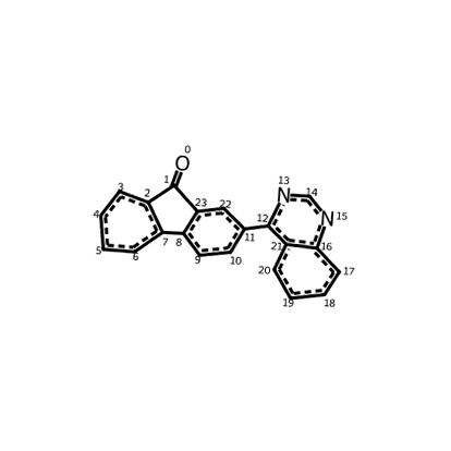 O=C1c2ccccc2-c2ccc(-c3ncnc4ccccc34)cc21